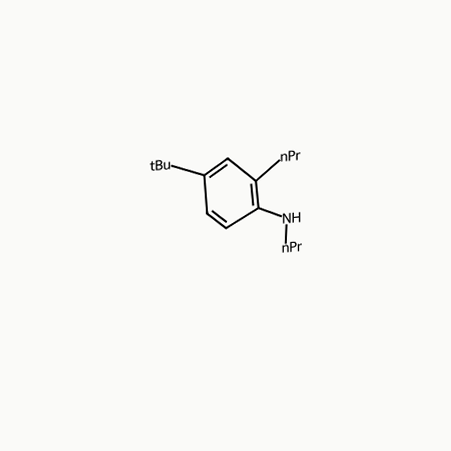 CCCNc1ccc(C(C)(C)C)cc1CCC